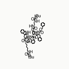 CC(C)(C)OC(=O)NCCCCCNC(=O)[C@@H](Cc1c[nH]c2ccccc12)NC(=O)C(NC(=O)[C@@H]1C[C@@H](OC(=O)NCCNC(=O)OC(C)(C)C)CN1C(=O)[C@H](Cc1ccccc1)NC(=O)OCc1ccccc1)c1ccccc1